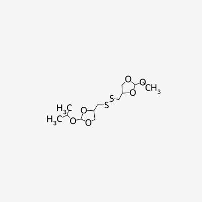 COC1OCC(CSSCC2COC(OC(C)C)O2)O1